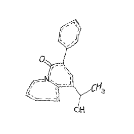 CC(O)c1cc(-c2ccccc2)c(=O)n2ccccc12